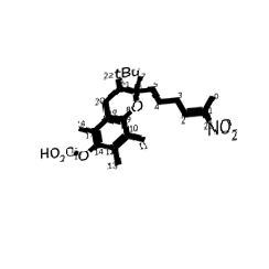 CC(=CCCCC1(C)Oc2c(C)c(C)c(OC(=O)O)c(C)c2CC1C(C)(C)C)[N+](=O)[O-]